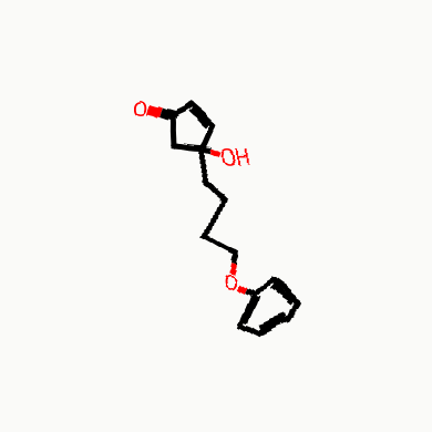 O=C1C=CC(O)(CCCCOc2ccccc2)C1